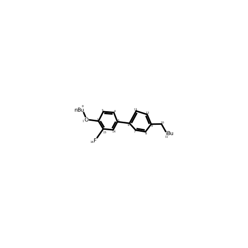 CCCCOc1ccc(-c2ccc(CC(C)CC)cc2)cc1F